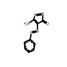 NC1=C(N=Nc2ccccc2)C(=O)N=N1